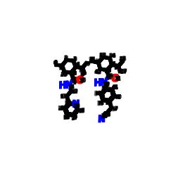 CC1CCC(C(C)C)C(C(=O)NCCc2ccccn2)C1.CC1CCC(C(C)C)C(C(=O)Nc2ccc(CC#N)cc2)C1